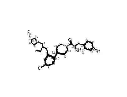 CCC(Cc1cc(Cl)ccc1C1CCN(C(=O)[C@H](N)Cc2ccc(Cl)cc2)CC1)CN1CC[C@@H](F)C1